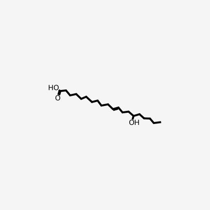 CCCCCC(O)CCC=CCCCCCCCCCC(=O)O